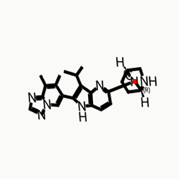 Cc1c(-c2[nH]c3ccc(N4C[C@H]5CC[C@H](C4)NC5)nc3c2C(C)C)cn2ncnc2c1C